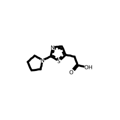 O=C(O)Cc1cnc(N2CCCC2)s1